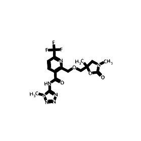 CN1CC(C)(COCc2nc(C(F)(F)F)ccc2C(=O)Nc2nnnn2C)OC1=O